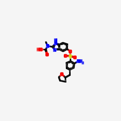 CN(C(=O)O)c1nc2cc(OS(=O)(=O)c3ccc(CC4CCCO4)cc3N)ccc2[nH]1